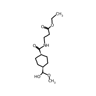 CCOC(=O)CCNC(=O)[C@H]1CC[C@@H](C(O)OC)CC1